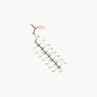 CC(O)COCC(F)(F)C(F)(F)C(F)(F)C(F)(F)C(F)(F)C(F)(F)C(F)(F)F